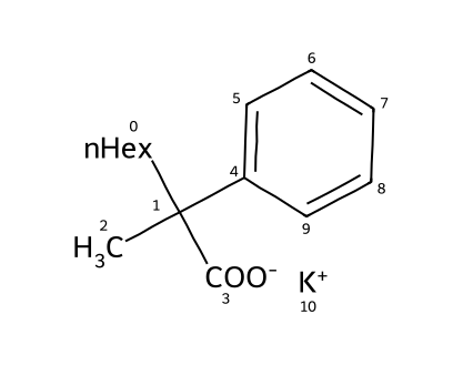 CCCCCCC(C)(C(=O)[O-])c1ccccc1.[K+]